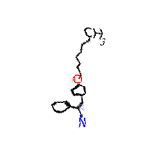 CCCCCCCCOc1ccc(/C=C(/C#N)c2ccccc2)cc1